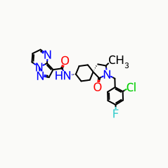 CC1C[C@]2(CC[C@@H](NC(=O)c3cnn4cccnc34)CC2)C(=O)N1Cc1ccc(F)cc1Cl